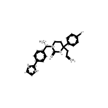 C=CCC1(c2ccc(F)cc2)CCN([C@@H](C)c2ccc(-c3nccs3)cc2)C(=O)O1